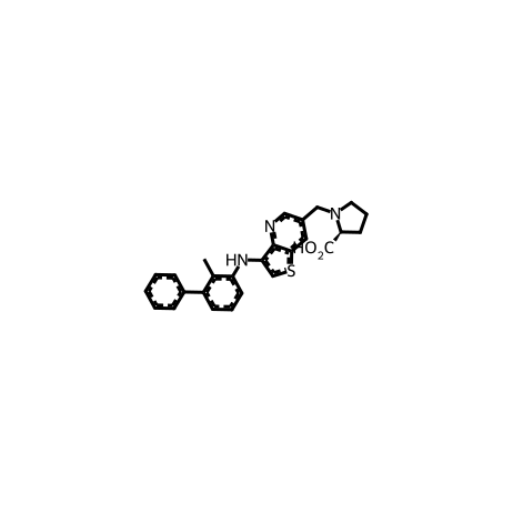 Cc1c(Nc2csc3cc(CN4CCC[C@H]4C(=O)O)cnc23)cccc1-c1ccccc1